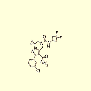 NC(=O)c1c(-c2cccc(Cl)c2)nn2c1CN(C(=O)NC1CC(F)(F)C1)CC21CC1